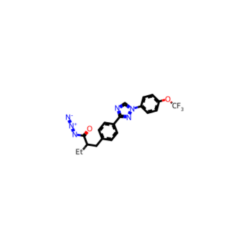 CCC(Cc1ccc(-c2ncn(-c3ccc(OC(F)(F)F)cc3)n2)cc1)C(=O)N=[N+]=[N-]